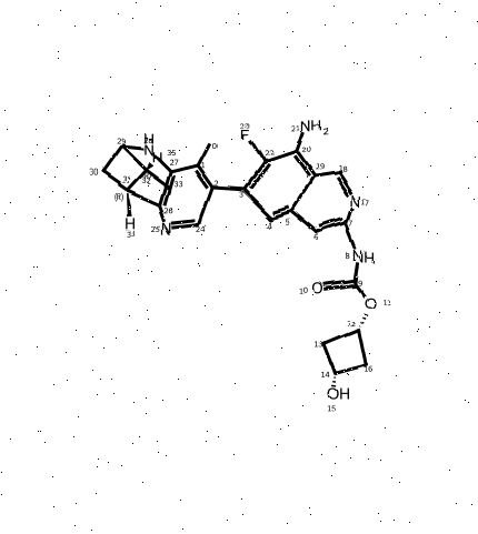 Cc1c(-c2cc3cc(NC(=O)O[C@H]4C[C@@H](O)C4)ncc3c(N)c2F)cnc2c1NC1C[C@@H]2[C@H]1C